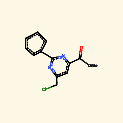 COC(=O)c1cc(CCl)nc(-c2ccccc2)n1